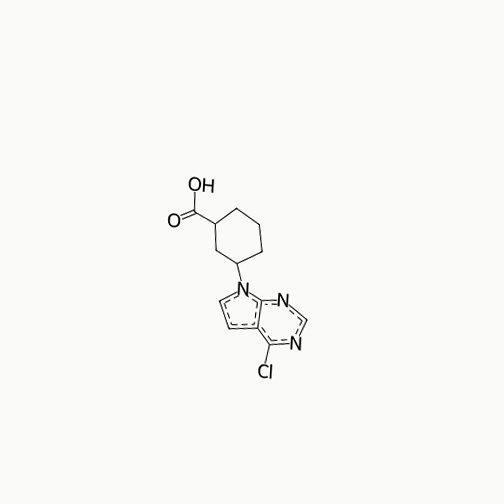 O=C(O)C1CCCC(n2ccc3c(Cl)ncnc32)C1